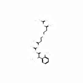 Cc1ccccc1C(C)C(=O)NC(=N)SC(=N)CCSCCC(=N)SC(=N)N